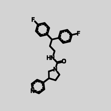 O=C(NCCC(c1ccc(F)cc1)c1ccc(F)cc1)N1CCC(c2ccncc2)C1